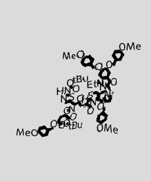 CCn1nc(C[N+]2(CC3=C(C(=O)OCc4ccc(OC)cc4)N4C(=O)[C@@H](CC(=O)C(=NOC(CC(=O)OCc5ccc(OC)cc5)C(=O)OC(C)(C)C)c5cnc(NC(=O)OC(C)(C)C)s5)[C@H]4SC3)CCCC2)c(=O)c2cc(OCc3ccc(OC)cc3)c(OCc3ccc(OC)cc3)cc21